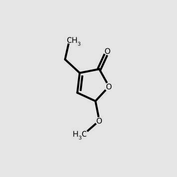 CCC1=CC(OC)OC1=O